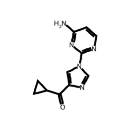 Nc1ccnc(-n2cnc(C(=O)C3CC3)c2)n1